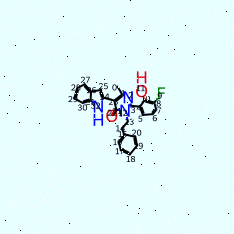 Cc1nc(-c2cccc(F)c2O)n(CCc2ccccc2)c(=O)c1-c1cc2ccccc2[nH]1